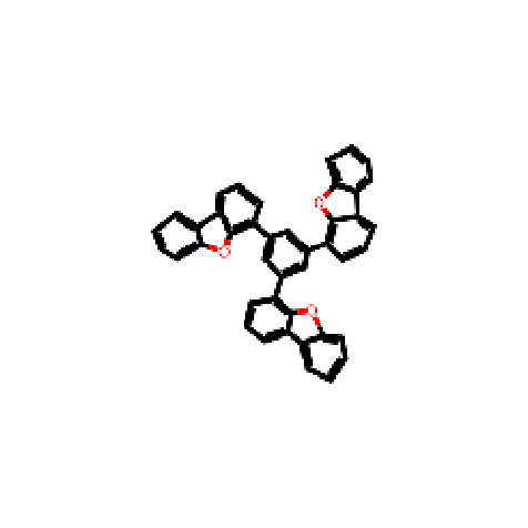 c1ccc2c(c1)oc1c(-c3cc(-c4cccc5c4oc4ccccc45)cc(-c4cccc5c4oc4ccccc45)c3)cccc12